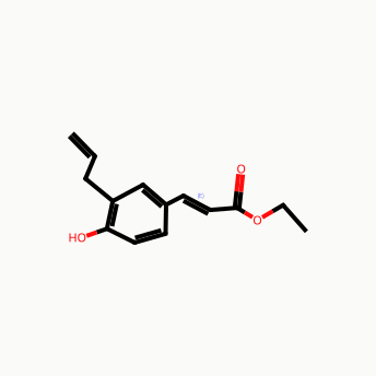 C=CCc1cc(/C=C/C(=O)OCC)ccc1O